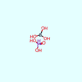 O=[PH](O)O.OB(O)O